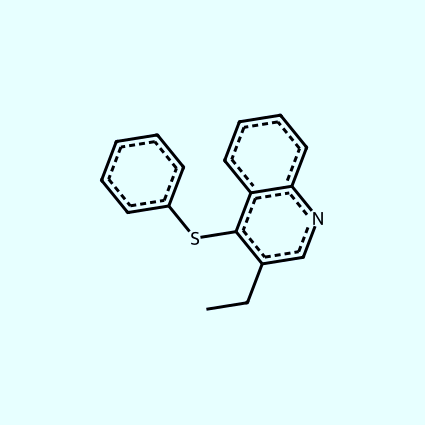 CCc1cnc2ccccc2c1Sc1ccccc1